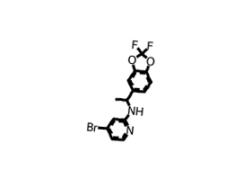 CC(Nc1cc(Br)ccn1)c1ccc2c(c1)OC(F)(F)O2